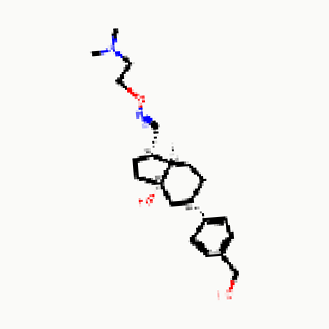 CN(C)CCO/N=C/[C@H]1CC[C@]2(O)C[C@@H](c3ccc(CO)cc3)CC[C@]12C